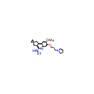 CCNc1nc2cc(OCCCN3CCCC3)c(OC)cc2c2c1CC1(CC1)C2